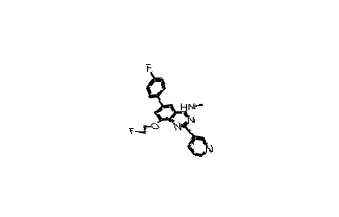 CNc1nc(-c2cccnc2)nc2c(OCCF)cc(-c3ccc(F)cc3)cc12